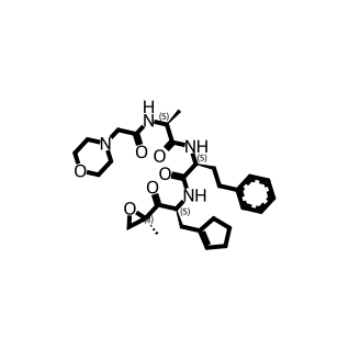 C[C@H](NC(=O)CN1CCOCC1)C(=O)N[C@@H](CCc1ccccc1)C(=O)N[C@@H](CC1=CCCC1)C(=O)[C@@]1(C)CO1